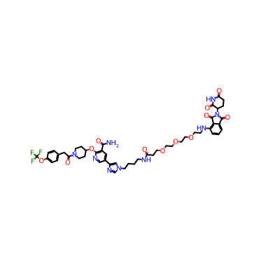 NC(=O)c1cc(-c2cn(CCCCNC(=O)CCOCCOCCOCCNc3cccc4c3C(=O)N(C3CCC(=O)NC3=O)C4=O)cn2)cnc1OC1CCN(C(=O)Cc2ccc(OC(F)(F)F)cc2)CC1